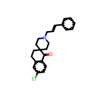 O=C1c2ccc(Cl)cc2CCC12CCN(C/C=C/c1ccccc1)CC2